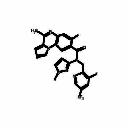 Cn1ccc(N(Cc2ncc(C(F)(F)F)cc2F)C(=O)c2cc3c(cc2F)nc(N)c2cncn23)n1